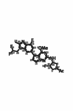 COc1nc(N[C@H]2CN(C(C)=O)C[C@H]2F)nn2ccc(-c3cc(F)c4nc(C)n(CC(F)F)c4c3)c12